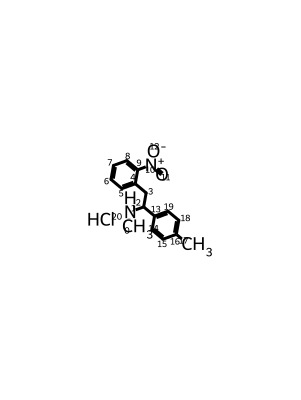 CNC(Cc1ccccc1[N+](=O)[O-])c1ccc(C)cc1.Cl